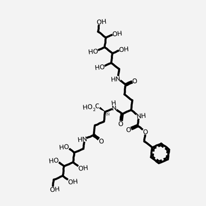 O=C(CCC(NC(=O)OCc1ccccc1)C(=O)N[C@@H](CCC(=O)NCC(O)C(O)C(O)C(O)CO)C(=O)O)NCC(O)C(O)C(O)C(O)CO